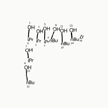 CC(C)O.CC(C)O.CC(C)O.CC(C)O.CCCCO.CCCCO.CCCCO.CCCCO.[Zr]